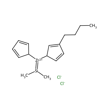 CCCCC1=C[CH]([Zr+2]([CH]2C=CC=C2)=[Si](C)C)C=C1.[Cl-].[Cl-]